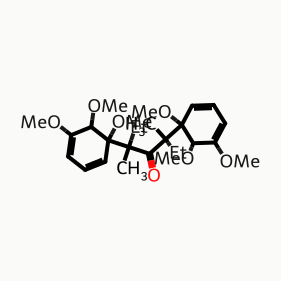 CCC(C)(C(=O)C(C)(CC)C1(OC)C=CC=C(OC)C1OC)C1(OC)C=CC=C(OC)C1OC